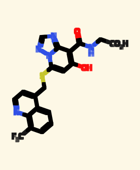 O=C(O)CNC(=O)c1c(O)cc(SCc2ccnc3c(C(F)(F)F)cccc23)n2ncnc12